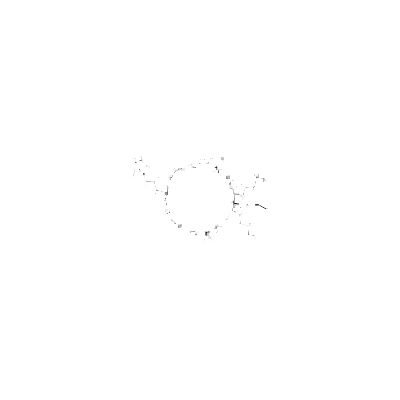 C=C=C=C=C1C(CCCCC)CCOC(=O)CCCCCCCC(CCCN2CCCC2)CCCCCCCC(=O)OCCC1CCCCC